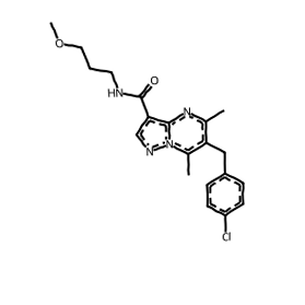 COCCCNC(=O)c1cnn2c(C)c(Cc3ccc(Cl)cc3)c(C)nc12